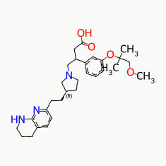 COCC(C)(C)Oc1cccc(C(CC(=O)O)CN2CC[C@@H](CCc3ccc4c(n3)NCCC4)C2)c1